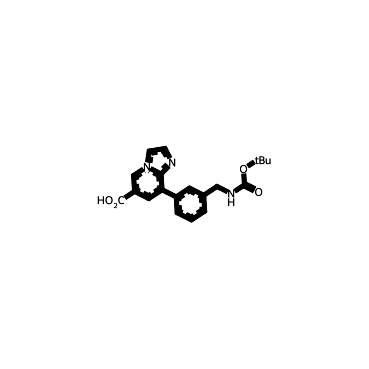 CC(C)(C)OC(=O)NCc1cccc(-c2cc(C(=O)O)cn3ccnc23)c1